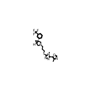 Cc1ncoc1-c1nnc(SCCCN2C[C@H]3C[C@@]3(c3cccc(C(F)(F)F)c3)C2)n1C